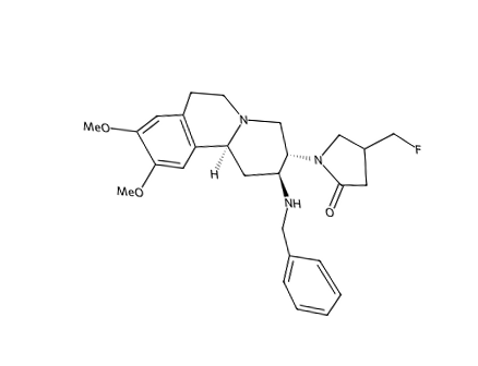 COc1cc2c(cc1OC)[C@@H]1C[C@H](NCc3ccccc3)[C@@H](N3CC(CF)CC3=O)CN1CC2